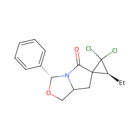 CC[C@@H]1C(Cl)(Cl)C12CC1CO[C@H](c3ccccc3)N1C2=O